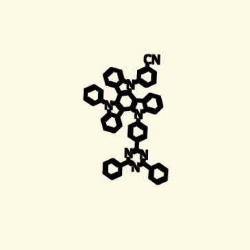 N#Cc1cccc(-n2c3ccccc3c3c4c(c5ccccc5n4-c4ccccc4)c4c(c5ccccc5n4-c4ccc(-c5nc(-c6ccccc6)nc(-c6ccccc6)n5)cc4)c32)c1